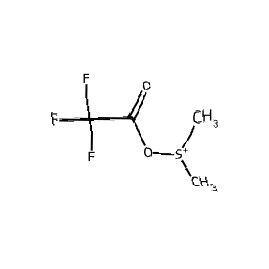 C[S+](C)OC(=O)C(F)(F)F